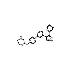 c1ccc(-c2n[nH]cc2-c2ccnc(-c3ccc(CC4CNCCO4)cc3)c2)nc1